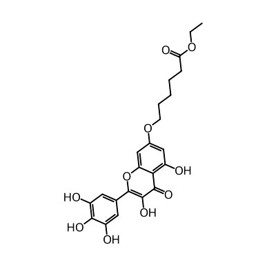 CCOC(=O)CCCCCOc1cc(O)c2c(=O)c(O)c(-c3cc(O)c(O)c(O)c3)oc2c1